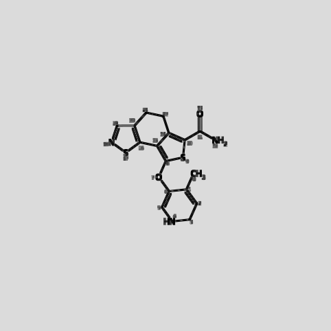 CC1=CCNC=C1Oc1sc(C(N)=O)c2c1-c1sncc1CC2